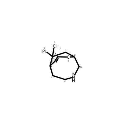 CC(C)C1(C)CC2CC=CC1CCNC2